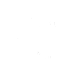 C[n+]1cccc(C(N)=O)c1.[Br-]